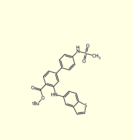 CC(C)(C)OC(=O)c1ccc(-c2ccc(NS(C)(=O)=O)cc2)cc1Nc1ccc2sccc2c1